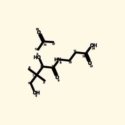 CC(C)(CO)C(O)C(=O)NCCC(=O)O.CC(C)=O